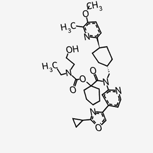 CCN(CCO)C(=O)OC1(C(=O)N(C[C@H]2CC[C@H](c3ccc(OC)c(C)n3)CC2)c2cc(-c3coc(C4CC4)n3)ccn2)CCCCC1